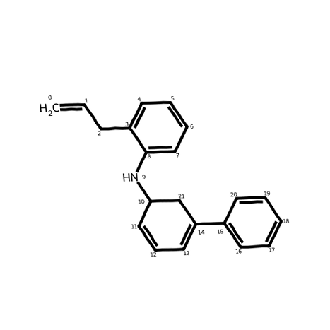 C=CCc1ccccc1NC1C=CC=C(c2ccccc2)C1